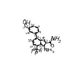 NC(=O)c1sc2c(-c3cccc(CO)c3)ccc(C(F)(F)F)c2c1N